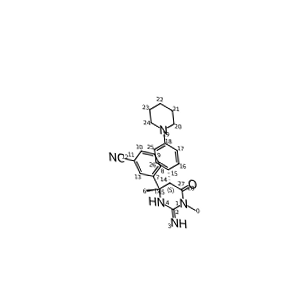 CN1C(=N)N[C@](C)(c2cccc(C#N)c2)[C@H](c2ccc(N3CCCCC3)cc2)C1=O